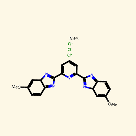 COC1=CC2N=C(c3cccc(C4=NC5C=C(OC)C=CC5=N4)n3)N=C2C=C1.[Cl-].[Cl-].[Cl-].[Nd+3]